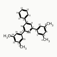 Cc1cc(C)cc(-c2cc(-c3ccccc3)cc(-c3cc(C)cc(C)c3)n2)c1